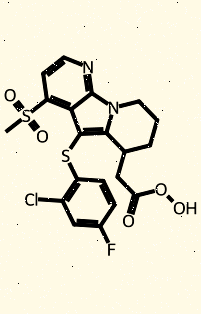 CS(=O)(=O)c1ccnc2c1c(Sc1ccc(F)cc1Cl)c1n2CCCC1CC(=O)OO